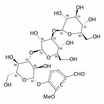 COc1cc(C=O)ccc1O[C@@H]1O[C@H](CO)[C@@H](O)[C@H](O[C@@H]2O[C@H](CO)[C@@H](O)[C@H](O[C@@H]3O[C@H](CO)[C@@H](O)[C@H](O)[C@H]3O)[C@H]2O)[C@H]1O